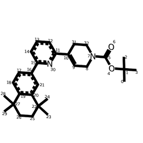 CC(C)(C)OC(=O)N1CC=C(c2cccc(-c3ccc4c(c3)C(C)(C)CCC4(C)C)n2)CC1